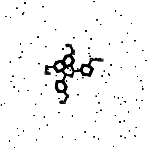 CC(C)(C)Oc1cccc(P([N]P(c2cccc(OC(C)(C)C)c2)c2cccc(OC(C)(C)C)c2)c2cccc(OC(C)(C)C)c2)c1